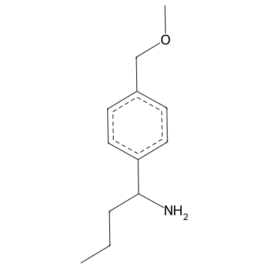 CCCC(N)c1ccc(COC)cc1